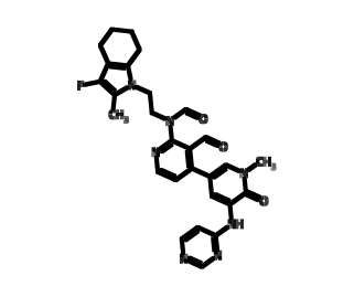 Cc1c(F)c2c(n1CCN(C=O)c1nccc(-c3cc(Nc4ccncn4)c(=O)n(C)c3)c1C=O)CCCC2